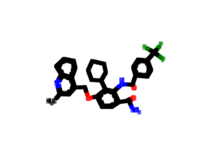 Cc1cc(COc2ccc(C(N)=O)c(NC(=O)c3ccc(C(F)(F)F)cc3)c2C2CCCCC2)c2ccccc2n1